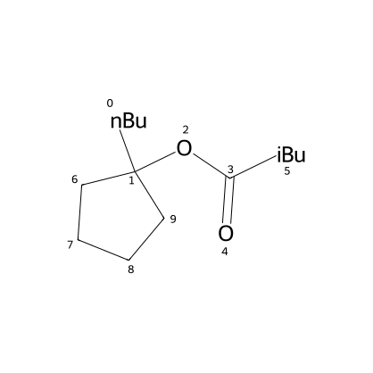 CCCCC1(OC(=O)C(C)CC)CCCC1